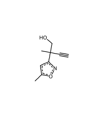 C#CC(C)(CO)c1cc(C)on1